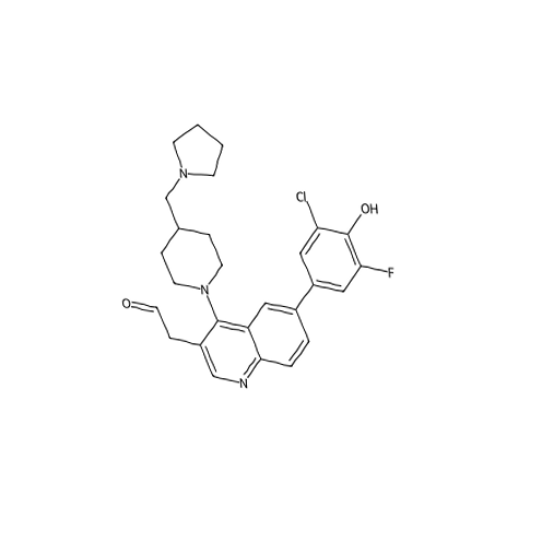 O=CCc1cnc2ccc(-c3cc(F)c(O)c(Cl)c3)cc2c1N1CCC(CN2CCCC2)CC1